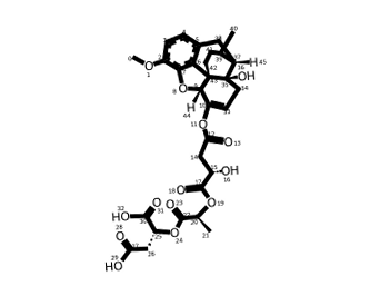 COc1ccc2c3c1O[C@H]1C(OC(=O)C[C@H](O)C(=O)O[C@@H](C)C(=O)O[C@H](CC(=O)O)C(=O)O)=CC[C@@]4(O)[C@@H](C2)C(C)CC[C@]314